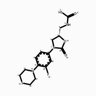 O=C(S)NC[C@H]1CN(c2ccc(N3CCSCC3)c(F)c2)C(=O)O1